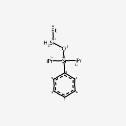 CC[SiH2]O[Si](c1ccccc1)(C(C)C)C(C)C